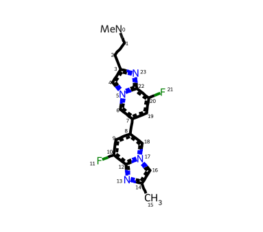 CNCCc1cn2cc(-c3cc(F)c4nc(C)cn4c3)cc(F)c2n1